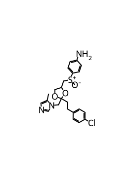 Cc1cncn1CC1(CCc2ccc(Cl)cc2)OCC(C[S+]([O-])c2ccc(N)cc2)O1